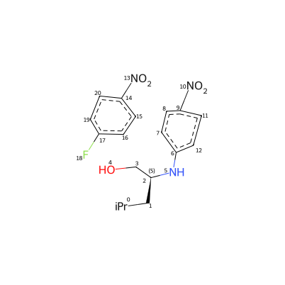 CC(C)C[C@@H](CO)Nc1ccc([N+](=O)[O-])cc1.O=[N+]([O-])c1ccc(F)cc1